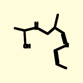 C/C=C\N=C/C(C)CNC(C)O